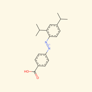 CC(C)c1ccc(/N=N/c2ccc(C(=O)O)cc2)c(C(C)C)c1